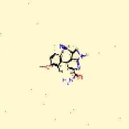 COc1ccc(C)c(-c2cc(C(N)=O)nc3c2c(C#N)cn3C)c1C